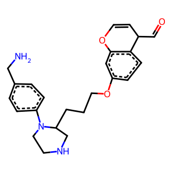 NCc1ccc(N2CCNCC2CCCOc2ccc3c(c2)OC=CC3C=O)cc1